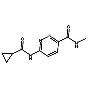 CNC(=O)c1ccc(NC(=O)C2CC2)nn1